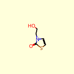 O=c1sccn1CCO